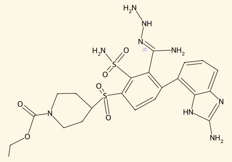 CCOC(=O)N1CCC(S(=O)(=O)c2ccc(-c3cccc4nc(N)[nH]c34)c(/C(N)=N/NN)c2S(N)(=O)=O)CC1